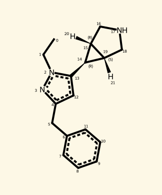 CCn1nc(Cc2ccccc2)cc1[C@H]1[C@@H]2CNC[C@@H]21